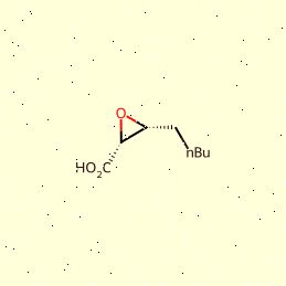 CCCCC[C@H]1O[C@H]1C(=O)O